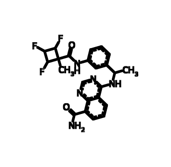 CC(Nc1ncnc2c(C(N)=O)cccc12)c1cccc(NC(=O)C2(C)C(F)C(F)C2F)c1